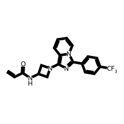 C=CC(=O)NC1CN(c2nc(-c3ccc(C(F)(F)F)cc3)n3ccccc23)C1